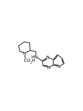 O=C(O)N1CCCCC1CNc1cnc2ncccc2n1